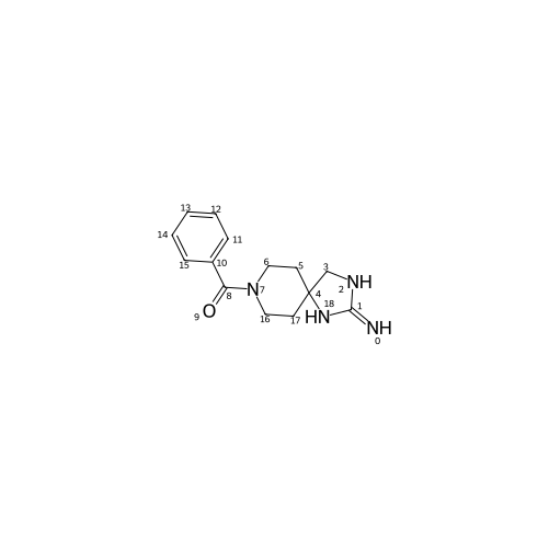 N=C1NCC2(CCN(C(=O)c3ccccc3)CC2)N1